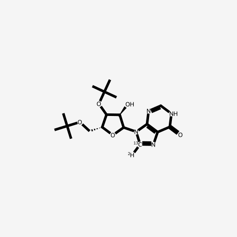 [2H][13c]1nc2c(=O)[nH]cnc2n1C1O[C@H](COC(C)(C)C)C(OC(C)(C)C)[C@H]1O